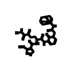 CCNC(=O)C(=O)CC[C@H](NC(=O)c1snnc1C=O)C(=O)Nc1cccn(CC(=O)NC2C3CC4CC(C3)CC2C4)c1=O